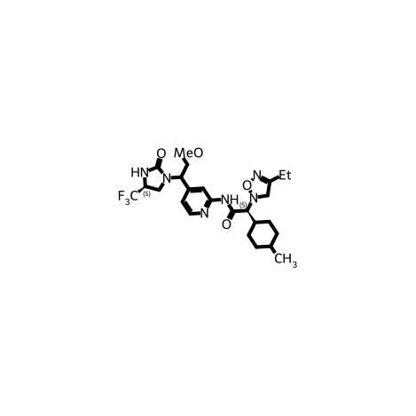 CCC1=NON([C@H](C(=O)Nc2cc(C(COC)N3C[C@@H](C(F)(F)F)NC3=O)ccn2)C2CCC(C)CC2)C1